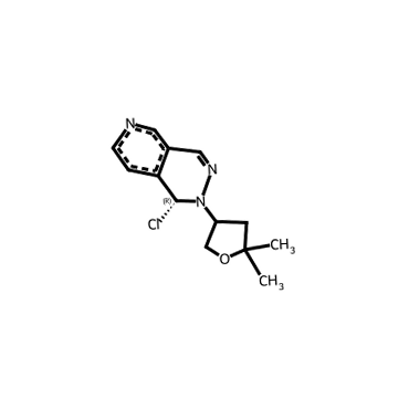 CC1(C)CC(N2N=Cc3cnccc3[C@H]2Cl)CO1